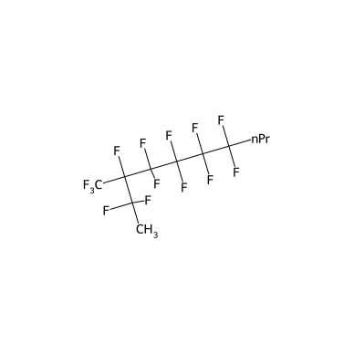 CCCC(F)(F)C(F)(F)C(F)(F)C(F)(F)C(F)(C(C)(F)F)C(F)(F)F